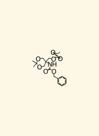 CC1(C)OCC(COS(C)(=O)=O)(NC(=O)OCc2ccccc2)CO1